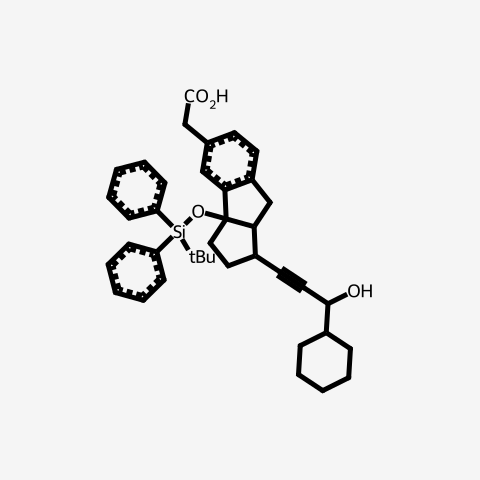 CC(C)(C)[Si](OC12CCC(C#CC(O)C3CCCCC3)C1Cc1ccc(CC(=O)O)cc12)(c1ccccc1)c1ccccc1